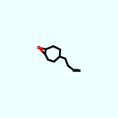 CNCCC1CCC2OC2CC1